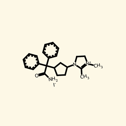 CC1=[N+](C)CCN1C1CCC(C(C(N)=O)(c2ccccc2)c2ccccc2)C1.[I-]